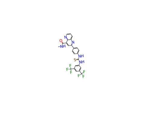 CNC(=O)c1cc(-c2ccc(NC(=S)Nc3cc(C(F)(F)F)cc(C(F)(F)F)c3)cc2)nc2cccnc12